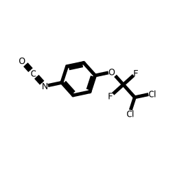 O=C=Nc1ccc(OC(F)(F)C(Cl)Cl)cc1